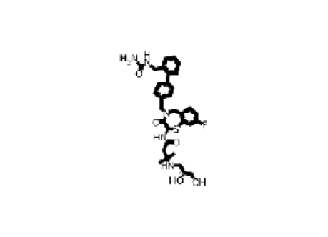 CC(C)(CC(=O)N[C@@H]1Sc2cc(F)ccc2CN(Cc2ccc(-c3ccccc3CNC(N)=O)cc2)C1=O)NC[C@H](O)CO